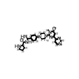 C[C@@H]1CN(c2ccc(C(=N)NC(=O)C3CCCN3)cc2)CCN1c1nc(-c2ccncn2)cc(=O)n1C